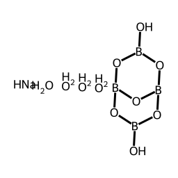 O.O.O.O.OB1OB2OB(O)OB(O1)O2.[NaH]